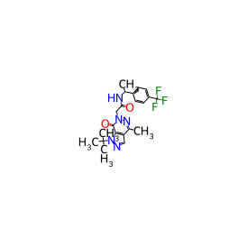 Cc1nn(CC(=O)NC(C)c2ccc(C(F)(F)F)cc2)c(=O)c2c1cnn2C(C)(C)C